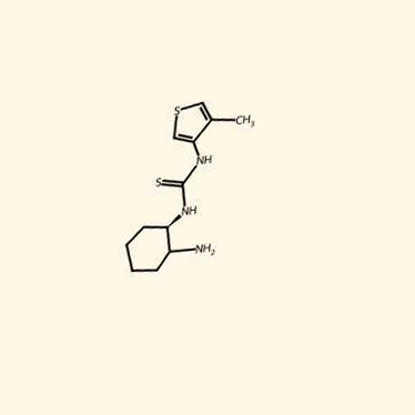 Cc1cscc1NC(=S)N[C@@H]1CCCCC1N